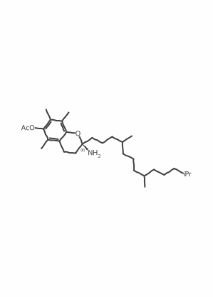 CC(=O)Oc1c(C)c(C)c2c(c1C)CC[C@@](N)(CCCC(C)CCCC(C)CCCC(C)C)O2